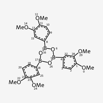 COc1ccc(B2OB(c3ccc(OC)c(OC)c3)OB(c3ccc(OC)c(OC)c3)O2)cc1OC